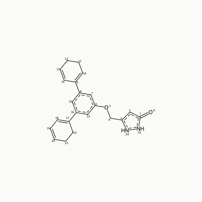 O=c1cc(COc2cc(C3=CCCC=C3)cc(C3=CC=CCC3)c2)[nH][nH]1